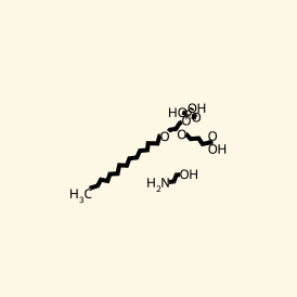 CCCCCCCCCCCCCCCCOCC(COP(=O)(O)O)OCCCCC(=O)O.NCCO